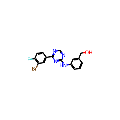 OCc1cccc(Nc2ncnc(-c3ccc(F)c(Br)c3)n2)c1